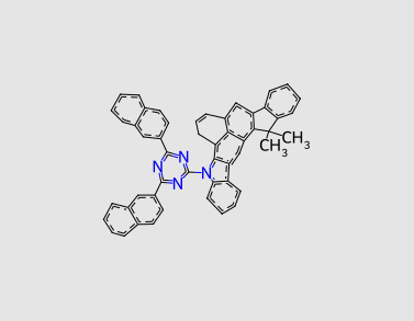 CC1(C)c2ccccc2-c2cc3c4c(c5c(cc4c21)c1ccccc1n5-c1nc(-c2ccc4ccccc4c2)nc(-c2ccc4ccccc4c2)n1)CC=C3